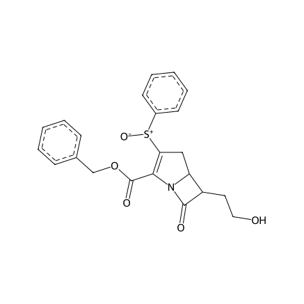 O=C(OCc1ccccc1)C1=C([S+]([O-])c2ccccc2)CC2C(CCO)C(=O)N12